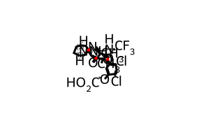 CC(C)(Oc1cc(OCC(=O)O)c(Cl)cc1Cl)C(=O)N[C@H]1C[C@H]2CC[C@@H](C1)N2c1ccc(C(=O)NCC(F)(F)F)cn1